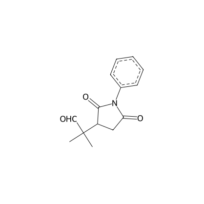 CC(C)(C=O)C1CC(=O)N(c2ccccc2)C1=O